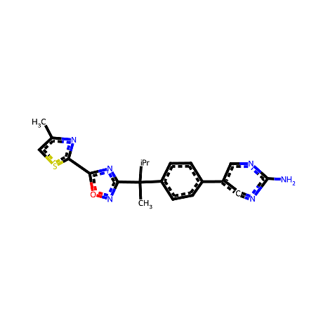 Cc1csc(-c2nc(C(C)(c3ccc(-c4cnc(N)nc4)cc3)C(C)C)no2)n1